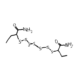 CCC(SSSSSSSC(CC)C(N)=O)C(N)=O